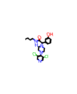 CCCCNC(=O)C(c1cccc(O)c1)N1CCN(c2c(Cl)cncc2Cl)CC1